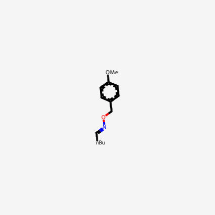 CCCCC=NOCc1ccc(OC)cc1